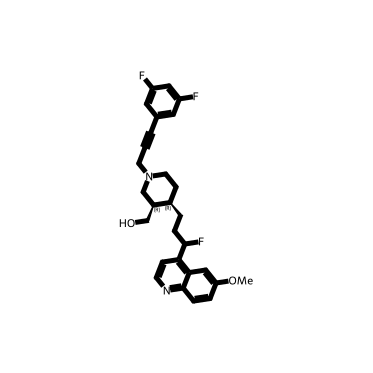 COc1ccc2nccc(C(F)CC[C@@H]3CCN(CC#Cc4cc(F)cc(F)c4)C[C@@H]3CO)c2c1